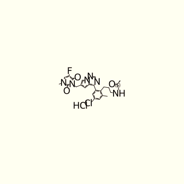 Cc1cc(Cl)cc(-c2ncnn3cc(Cn4c(=O)c(F)cn(C)c4=O)cc23)c1CC1CNC[C@H](C)O1.Cl